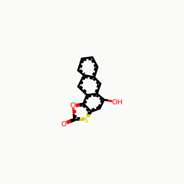 O=c1oc2c(cc(O)c3cc4ccccc4cc32)s1